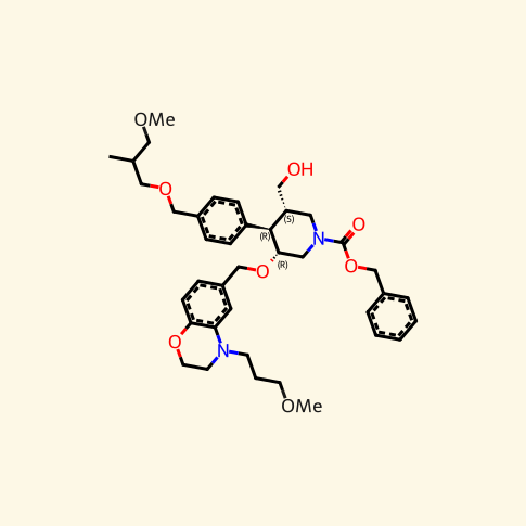 COCCCN1CCOc2ccc(CO[C@H]3CN(C(=O)OCc4ccccc4)C[C@@H](CO)[C@@H]3c3ccc(COCC(C)COC)cc3)cc21